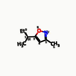 CC[C@H](C)c1cc(C)no1